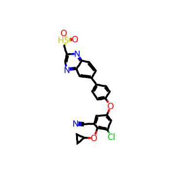 N#Cc1cc(Oc2ccc(-c3ccc4nc(C[SH](=O)=O)cnc4c3)cc2)cc(Cl)c1OC1CC1